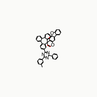 Cc1cccc(-c2nc(-c3ccccc3)nc(-c3ccc4c(c3)C3(c5ccccc5Oc5cc6c(cc53)oc3ccccc36)c3ccccc3-c3ccccc3-4)n2)c1